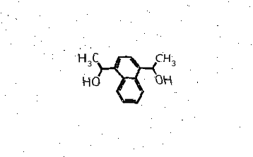 CC(O)c1ccc(C(C)O)c2ccccc12